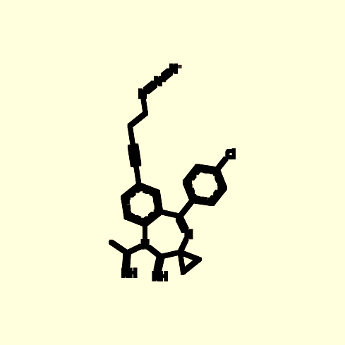 CC(=N)N1C(=N)C2(CC2)N=C(c2ccc(Cl)cc2)c2cc(C#CCCN=[N+]=[N-])ccc21